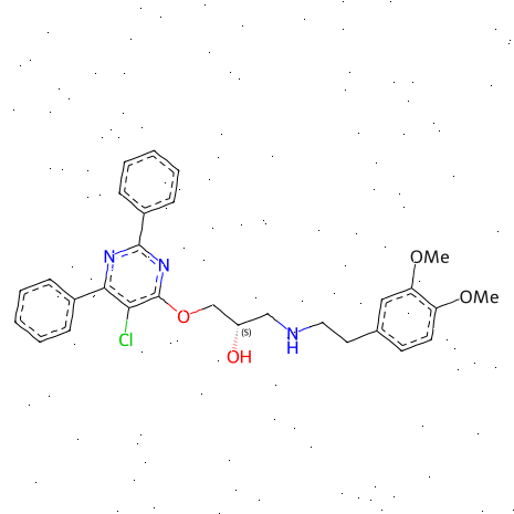 COc1ccc(CCNC[C@H](O)COc2nc(-c3ccccc3)nc(-c3ccccc3)c2Cl)cc1OC